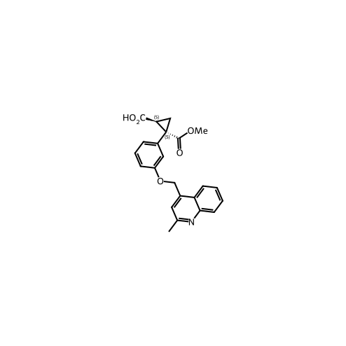 COC(=O)[C@@]1(c2cccc(OCc3cc(C)nc4ccccc34)c2)C[C@@H]1C(=O)O